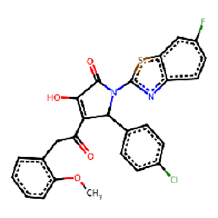 COc1ccccc1CC(=O)C1=C(O)C(=O)N(c2nc3ccc(F)cc3s2)C1c1ccc(Cl)cc1